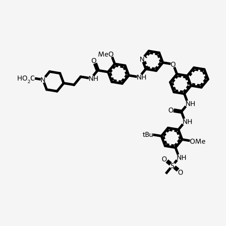 COc1cc(Nc2cc(Oc3ccc(NC(=O)Nc4cc(C(C)(C)C)cc(NS(C)(=O)=O)c4OC)c4ccccc34)ccn2)ccc1C(=O)NCCC1CCN(C(=O)O)CC1